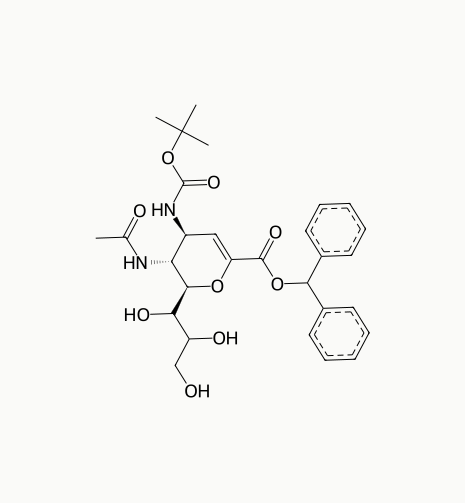 CC(=O)N[C@@H]1[C@@H](NC(=O)OC(C)(C)C)C=C(C(=O)OC(c2ccccc2)c2ccccc2)O[C@H]1C(O)C(O)CO